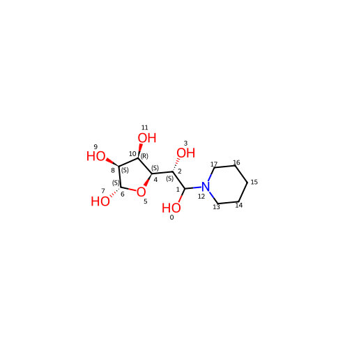 OC([C@@H](O)[C@H]1O[C@H](O)[C@@H](O)[C@H]1O)N1CCCCC1